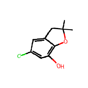 CC1(C)Cc2cc(Cl)cc(O)c2O1